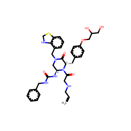 C=CCNCC(=O)N1[C@@H](NC(=O)NCc2ccccc2)CN(Cc2cccc3c2NCS3)C(=O)[C@@H]1Cc1ccc(OCC(O)CO)cc1